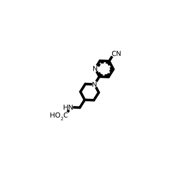 N#Cc1ccc(N2CCC(CNC(=O)O)CC2)nc1